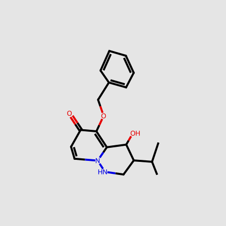 CC(C)C1CNn2ccc(=O)c(OCc3ccccc3)c2C1O